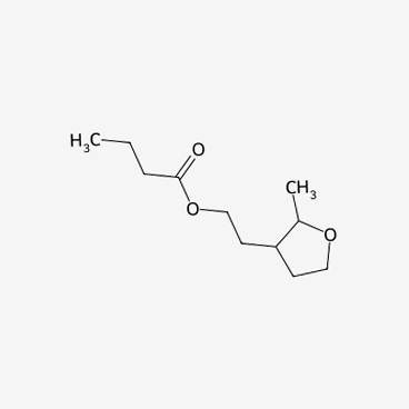 CCCC(=O)OCCC1CCOC1C